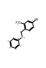 FC(F)(F)c1cc(Br)ccc1COc1ccccc1